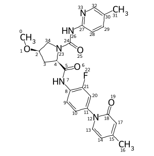 CO[C@@H]1C[C@H](C(=O)Nc2ccc(-n3ccc(C)cc3=O)cc2F)N(C(=O)Nc2ccc(C)cn2)C1